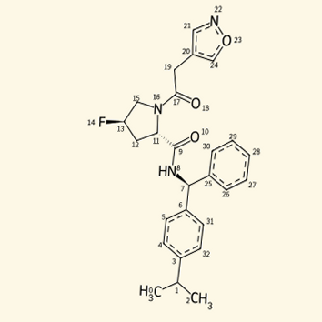 CC(C)c1ccc([C@@H](NC(=O)[C@@H]2C[C@@H](F)CN2C(=O)Cc2cnoc2)c2ccccc2)cc1